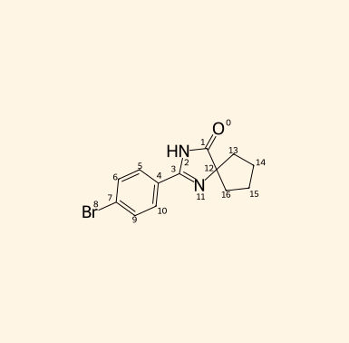 O=C1NC(c2ccc(Br)cc2)=NC12CCCC2